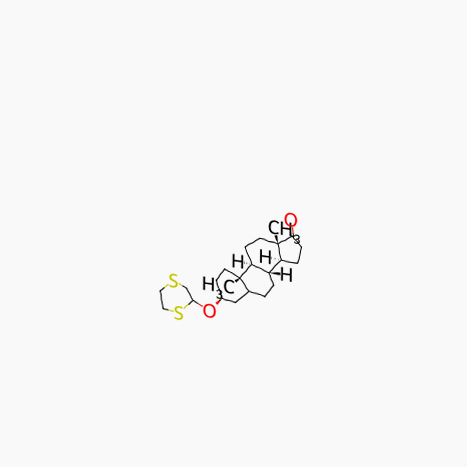 C[C@]12CC[C@H](OC3CSCCS3)CC1CC[C@@H]1[C@@H]2CC[C@]2(C)C(=O)CC[C@@H]12